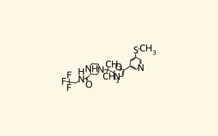 CSc1cncc(-c2cnc(C(C)(C)N3CCN[C@H](C(=O)NCC(F)(F)F)C3)o2)c1